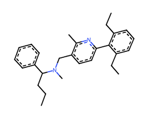 CCCC(c1ccccc1)N(C)Cc1ccc(-c2c(CC)cccc2CC)nc1C